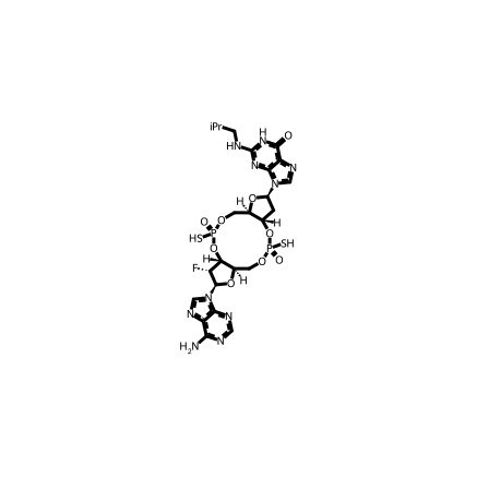 CC(C)CNc1nc2c(ncn2[C@H]2C[C@@H]3OP(=O)(S)OC[C@H]4O[C@@H](n5cnc6c(N)ncnc65)[C@H](F)[C@@H]4OP(=O)(S)OC[C@H]3O2)c(=O)[nH]1